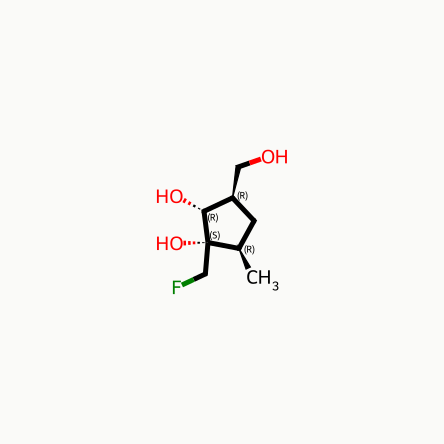 C[C@@H]1C[C@H](CO)[C@@H](O)[C@]1(O)CF